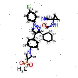 CS(=O)(=O)C1CN(c2ccc(-c3cn(-c4ccc(F)cc4)nc3[C@@H]3CCCC[C@H]3C(=O)NC3(C#N)CC3)cc2)C1